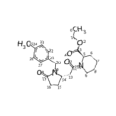 CCOC(=O)[C@H]1CCCCN1C(=O)C[C@@H]1CCC(=O)N1Cc1ccc(C)cc1